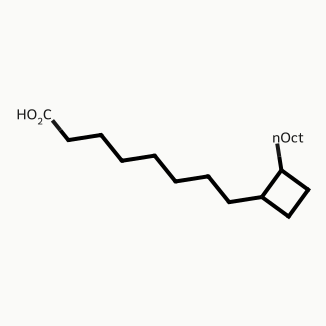 CCCCCCCCC1CCC1CCCCCCCC(=O)O